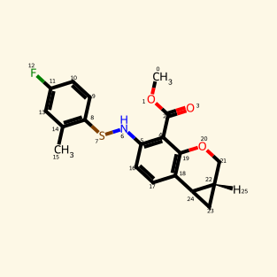 COC(=O)c1c(NSc2ccc(F)cc2C)ccc2c1OC[C@@H]1CC21